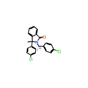 C[C@@H](c1ccc(Cl)cc1)N1C(=O)c2ccccc2C1(C)c1ccc(Cl)cc1